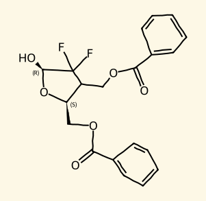 O=C(OCC1[C@@H](COC(=O)c2ccccc2)O[C@@H](O)C1(F)F)c1ccccc1